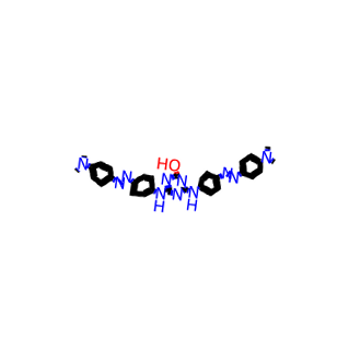 CN(C)c1ccc(/N=N/c2ccc(Nc3nc(O)nc(Nc4ccc(/N=N/c5ccc(N(C)C)cc5)cc4)n3)cc2)cc1